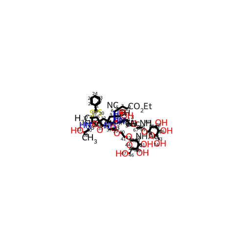 CCOC(=O)CCC(C)(C#N)CC(C)(CC(C)(CC(C)(CC(C)(SC(=S)c1ccccc1)C(=O)NCC(C)O)C(=O)NCCOCCO[C@@H]1O[C@H](CO)[C@@H](O)[C@H](O)[C@H]1NC(C)=O)C(=O)NCC(C)O)C(=O)NCCOCCO[C@@H]1O[C@H](CO)[C@@H](O)[C@H](O)[C@H]1NC(C)=O